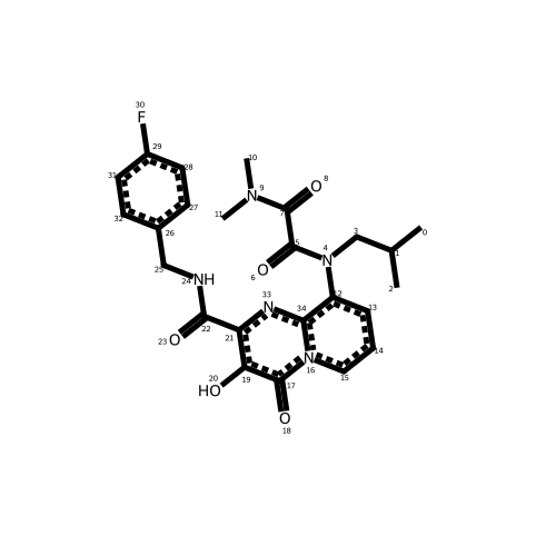 CC(C)CN(C(=O)C(=O)N(C)C)c1cccn2c(=O)c(O)c(C(=O)NCc3ccc(F)cc3)nc12